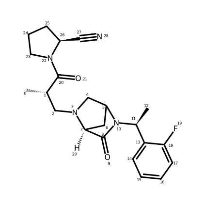 C[C@@H](CN1CC2C[C@H]1C(=O)N2[C@@H](C)c1ccccc1F)C(=O)N1CCC[C@H]1C#N